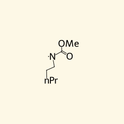 CCCCC[N]C(=O)OC